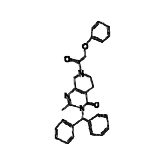 Cc1nc2c(c(=O)n1C(c1ccccc1)c1ccccc1)CCN(C(=O)COc1ccccc1)C2